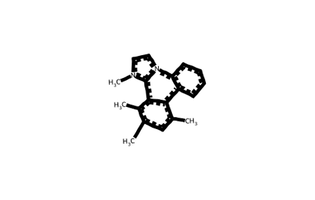 Cc1cc(C)c2c3ccccc3n3cc[n+](C)c3c2c1C